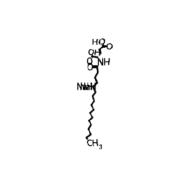 CCCCCCCCCCCCCCCCCC(=O)N[C@@H](CCC(=O)O)C(=O)O.[NaH].[NaH]